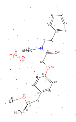 CCCCCCN(CCc1ccccc1)C(=O)COc1ccc(C[C@H](OCC)C(=O)O)cc1.O.O